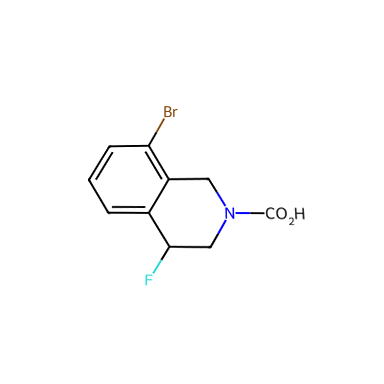 O=C(O)N1Cc2c(Br)cccc2C(F)C1